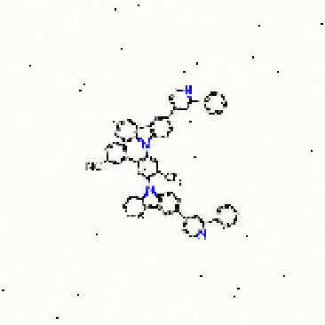 N#Cc1cccc(-c2cc(-n3c4ccccc4c4cc(-c5ccnc(-c6ccccc6)c5)ccc43)c(C(F)(F)F)cc2-n2c3ccccc3c3cc(-c4ccnc(-c5ccccc5)c4)ccc32)c1